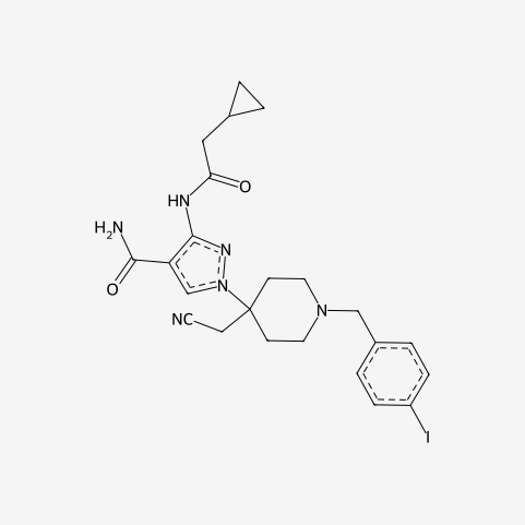 N#CCC1(n2cc(C(N)=O)c(NC(=O)CC3CC3)n2)CCN(Cc2ccc(I)cc2)CC1